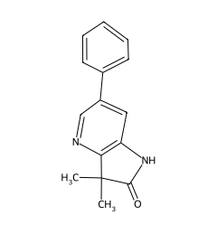 CC1(C)C(=O)Nc2cc(-c3ccccc3)cnc21